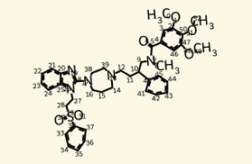 COc1cc(C(=O)N(C)CC(CCN2CCCN(c3nc4ccccc4n3CCS(=O)(=O)c3ccccc3)CC2)c2ccccc2)cc(OC)c1OC